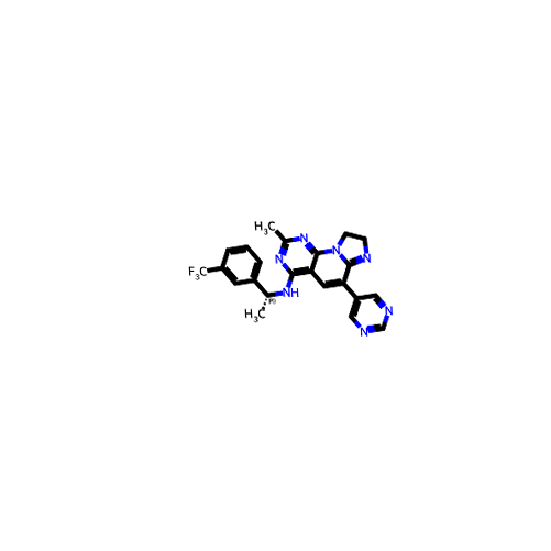 Cc1nc(N[C@H](C)c2cccc(C(F)(F)F)c2)c2c(n1)N1CCN=C1C(c1cncnc1)=C2